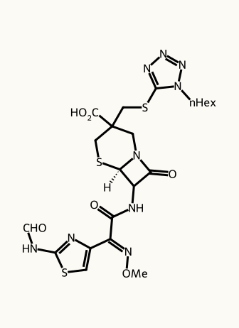 CCCCCCn1nnnc1SCC1(C(=O)O)CS[C@@H]2C(NC(=O)C(=NOC)c3csc(NC=O)n3)C(=O)N2C1